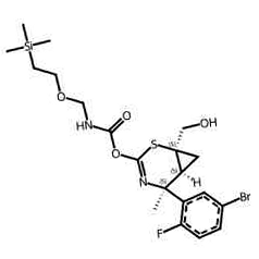 C[C@]1(c2cc(Br)ccc2F)N=C(OC(=O)NCOCC[Si](C)(C)C)S[C@@]2(CO)C[C@H]21